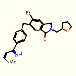 CCc1cc2c(cc1Cc1ccc(C(=N)/C=C\NC)cc1)C(=O)N(CC1CCCO1)C2